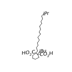 CCC(C)C1(C(=O)O)CCCCC1(CCCCCCCCCCCCCCC(C)C)C(=O)O